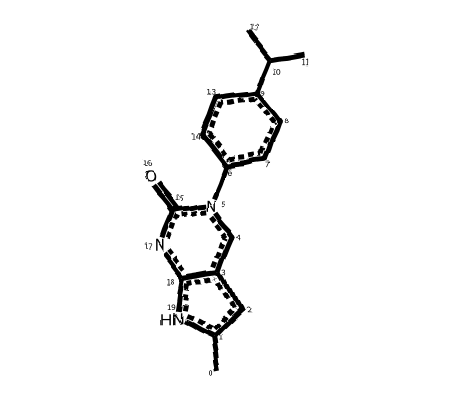 Cc1cc2cn(-c3ccc(C(C)C)cc3)c(=O)nc2[nH]1